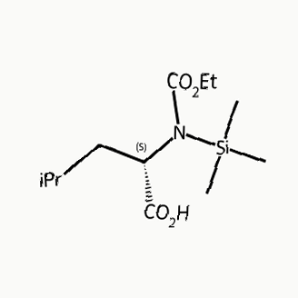 CCOC(=O)N([C@@H](CC(C)C)C(=O)O)[Si](C)(C)C